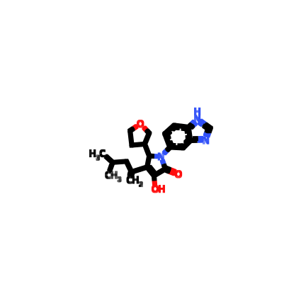 C=C(CC(C)C)C1=C(O)C(=O)N(c2ccc3[nH]cnc3c2)C1C1CCOC1